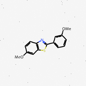 COc1cccc(-c2nc3ccc(OC)cc3s2)c1